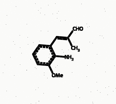 COc1cccc(C=C(C)C=O)c1N